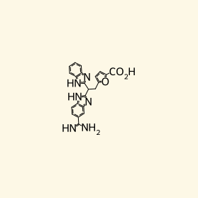 N=C(N)c1ccc2[nH]c(C(Cc3ccc(C(=O)O)o3)c3nc4ccccc4[nH]3)nc2c1